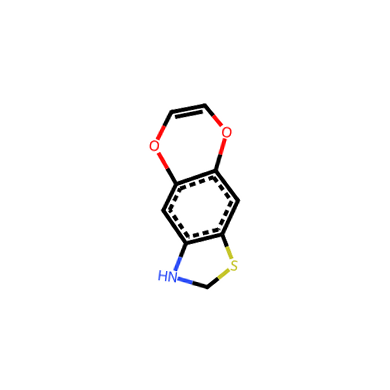 C1=COc2cc3c(cc2O1)NCS3